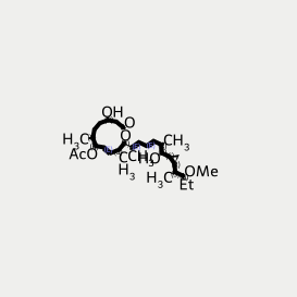 CC[C@H](OC)[C@@H](C)[C@H]1C[C@@H]1[C@@H](O)[C@H](C)/C=C/C=C(\C)[C@H]1OC(=O)C[C@H](O)CC[C@H](C)[C@@H](OC(C)=O)/C=C/[C@@H]1C